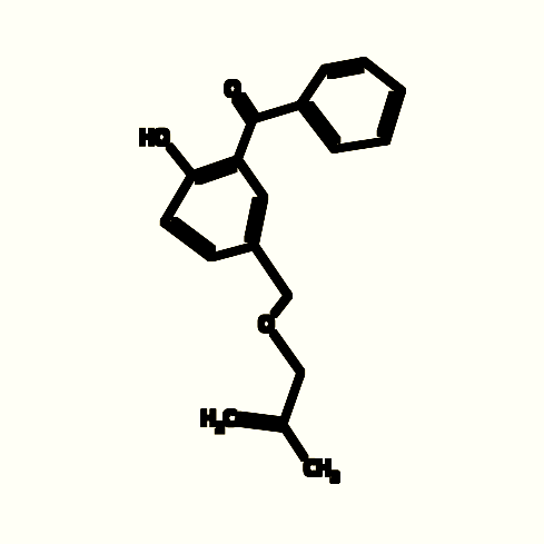 C=C(C)COCc1ccc(O)c(C(=O)c2ccccc2)c1